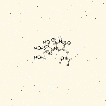 CO[C@@H](CI)Cc1cn([C@@H]2O[C@H](CO)C(O)C2O)c(=O)[nH]c1=O